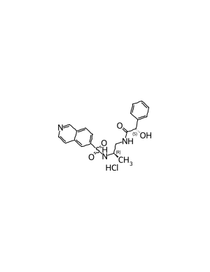 C[C@H](CNC(=O)[C@@H](O)c1ccccc1)NS(=O)(=O)c1ccc2cnccc2c1.Cl